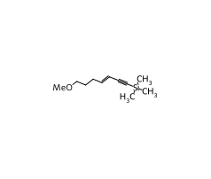 COCCCC=CC#C[Si](C)(C)C